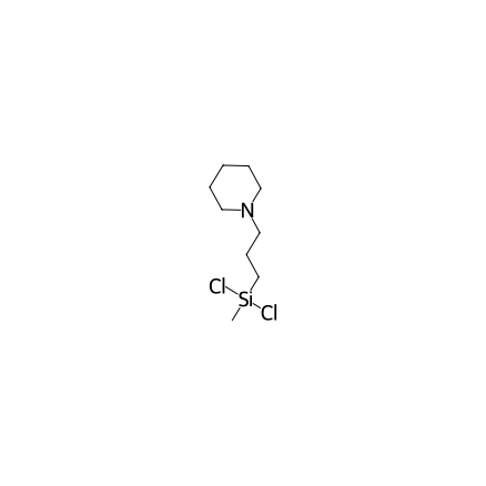 C[Si](Cl)(Cl)CCCN1CCCCC1